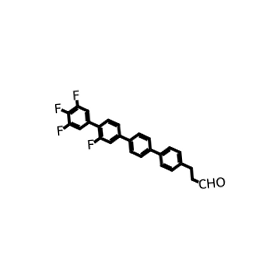 O=CCCc1ccc(-c2ccc(-c3ccc(-c4cc(F)c(F)c(F)c4)c(F)c3)cc2)cc1